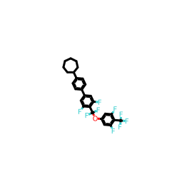 Fc1cc(OC(F)(F)c2c(F)cc(-c3ccc(C4CCCCCC4)cc3)cc2F)cc(F)c1C(F)(F)F